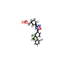 Cc1ccccc1-c1ccc(-c2nc(-c3cccc(CO)c3)no2)cc1C(F)(F)F